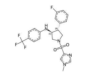 Cn1cnc(S(=O)(=O)N2C[C@@H](Nc3ccc(C(F)(F)F)cc3)[C@H](c3cccc(F)c3)C2)c1